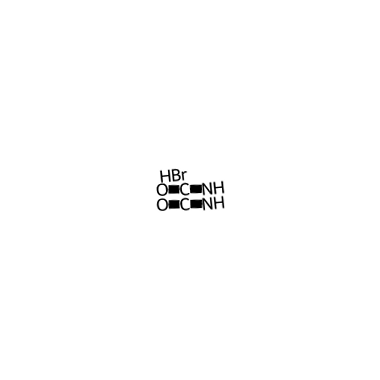 Br.N=C=O.N=C=O